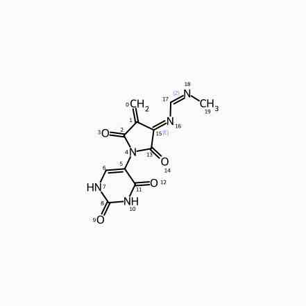 C=C1C(=O)N(c2c[nH]c(=O)[nH]c2=O)C(=O)/C1=N/C=N\C